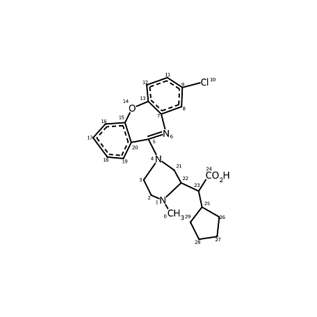 CN1CCN(C2=Nc3cc(Cl)ccc3Oc3ccccc32)CC1C(C(=O)O)C1CCCC1